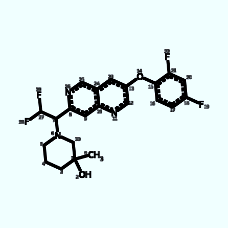 CC1(O)CCCN(C(c2cc3ncc(Oc4ccc(F)cc4F)cc3cn2)C(F)F)C1